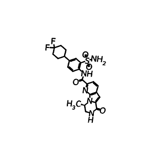 C[C@@H]1CNC(=O)c2cc3ccc(C(=O)Nc4ccc(C5CCC(F)(F)CC5)cc4S(N)(=O)=O)nc3n21